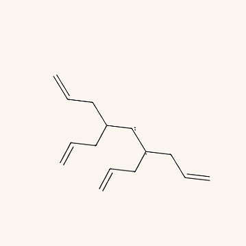 C=CC[C]([C]C(CC=C)CC=C)CC=C